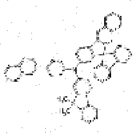 CC1(C)c2ccccc2-c2ccc(N(c3ccc(-c4ccc5ccccc5c4)cc3)c3ccc4c(c3)C3(c5ccccc5-c5ccccc53)c3cc5ccccc5cc3-4)cc21